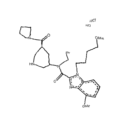 COCCCCn1c(C(=O)N(CC(C)C)C2CNC[C@@H](C(=O)N3CCCC3)C2)nc2c(OC)cccc21.Cl.Cl